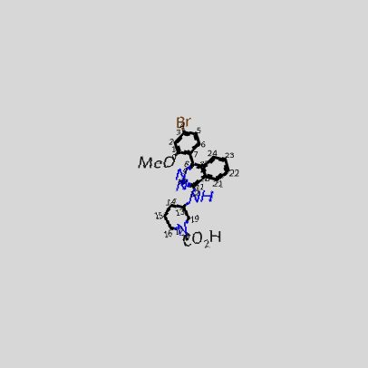 COc1cc(Br)ccc1-c1nnc(NC2CCCN(C(=O)O)C2)c2ccccc12